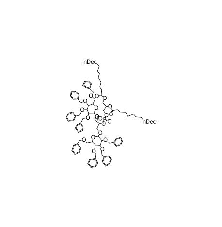 CCCCCCCCCCCCCCCCCC(=O)OCC(COP(=O)(O)OC(COC1OC(COCc2ccccc2)C(OCc2ccccc2)C(OCc2ccccc2)C1OCc1ccccc1)COC1OC(COCc2ccccc2)C(OCc2ccccc2)C(OCc2ccccc2)C1OCc1ccccc1)OC(=O)CCCCCCCCCCCCCCCCC